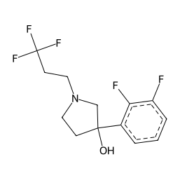 OC1(c2cccc(F)c2F)CCN(CCC(F)(F)F)C1